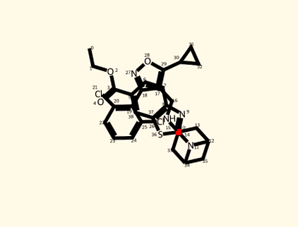 CCOC(=O)c1ccc2nc(N3C4CC(NCc5c(-c6c(Cl)cccc6Cl)noc5C5CC5)CC3C4)sc2c1